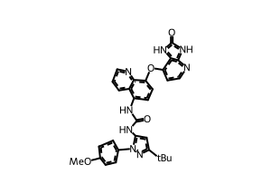 COc1ccc(-n2nc(C(C)(C)C)cc2NC(=O)Nc2ccc(Oc3ccnc4[nH]c(=O)[nH]c34)c3ncccc23)cc1